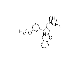 COc1cccc(C2C(CN(C)C)CC(=O)N2Cc2ccccc2)c1